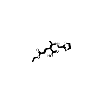 CCOC(=O)C=CC(C(=O)O)=C(C)NCc1nccs1